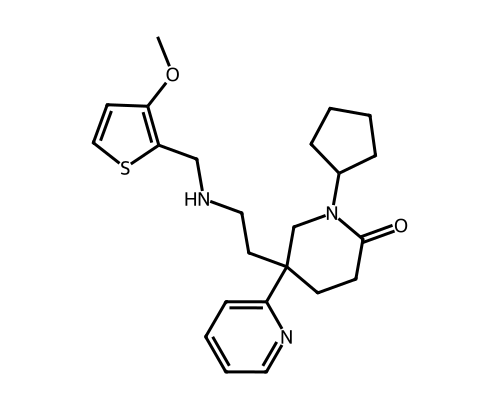 COc1ccsc1CNCCC1(c2ccccn2)CCC(=O)N(C2CCCC2)C1